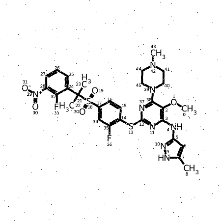 COc1c(Nc2cc(C)[nH]n2)nc(Sc2ccc(S(=O)(=O)C(C)(C)c3cccc([N+](=O)[O-])c3F)cc2F)nc1N1CCN(C)CC1